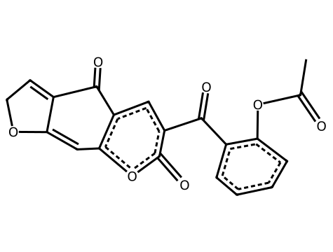 CC(=O)Oc1ccccc1C(=O)c1cc2c(oc1=O)C=C1OCC=C1C2=O